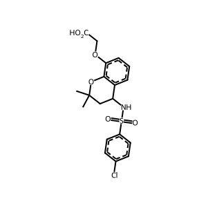 CC1(C)CC(NS(=O)(=O)c2ccc(Cl)cc2)c2cccc(OCC(=O)O)c2O1